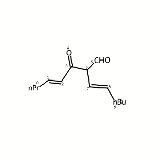 CCC/C=C/C(=O)C(C=O)C=CCCCC